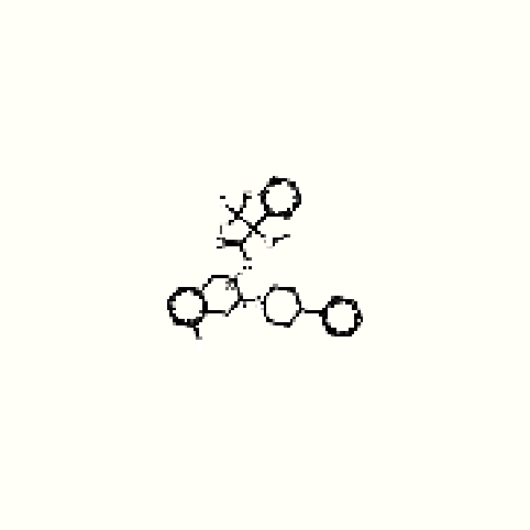 COC(C(=O)O[C@H]1Cc2cccc(F)c2C[C@@H]1N1CCC(c2ccccc2)CC1)(c1ccccc1)C(F)(F)F